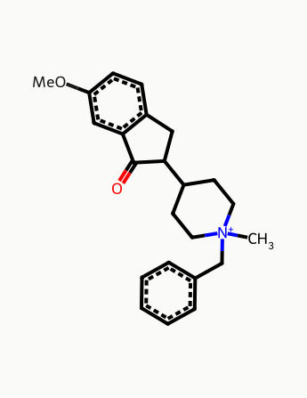 COc1ccc2c(c1)C(=O)C(C1CC[N+](C)(Cc3ccccc3)CC1)C2